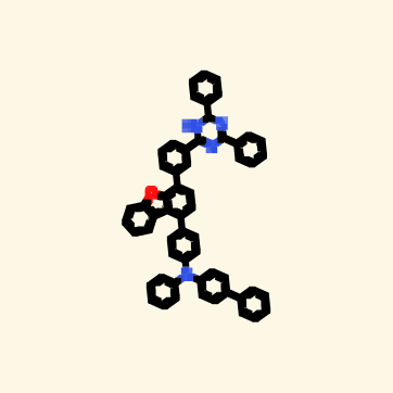 c1ccc(C2=NC(c3ccccc3)NC(c3cccc(-c4ccc(-c5ccc(N(c6ccccc6)c6ccc(-c7ccccc7)cc6)cc5)c5c4oc4ccccc45)c3)=N2)cc1